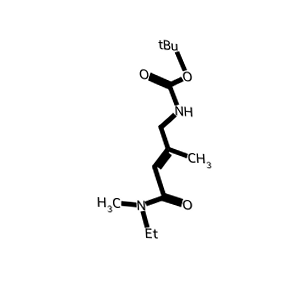 CCN(C)C(=O)/C=C(\C)CNC(=O)OC(C)(C)C